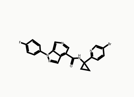 O=C(NC1(c2ccc(Br)cn2)CC1)c1cncc2c1cnn2-c1ccc(F)cc1